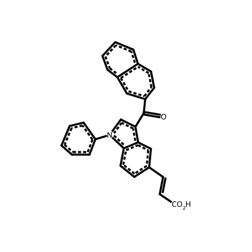 O=C(O)/C=C/c1ccc2c(c1)c(C(=O)c1ccc3ccccc3c1)cn2-c1ccccc1